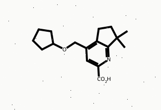 CC1(C)CCc2c(COC3CCCC3)cc(C(=O)O)nc21